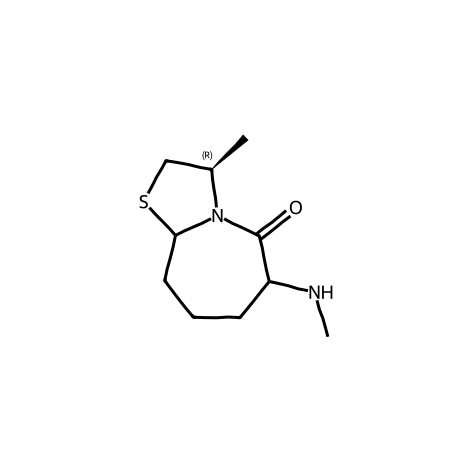 CNC1CCCC2SC[C@@H](C)N2C1=O